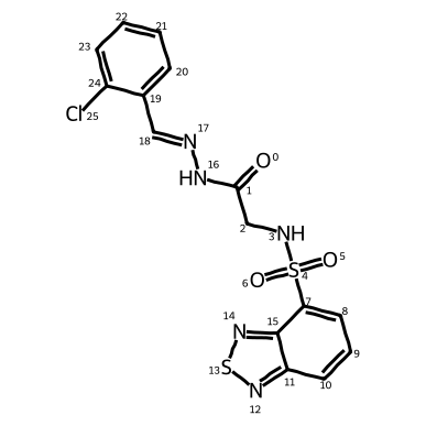 O=C(CNS(=O)(=O)c1cccc2nsnc12)N/N=C/c1ccccc1Cl